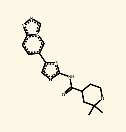 CC1(C)CC(C(=O)Nc2ncc(-c3ccc4nncn4c3)s2)CCO1